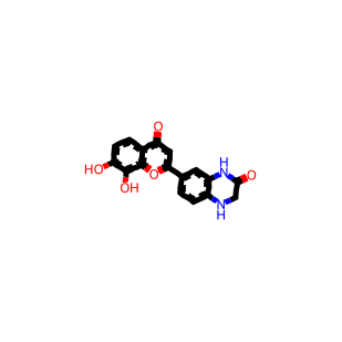 O=C1CNc2ccc(-c3cc(=O)c4ccc(O)c(O)c4o3)cc2N1